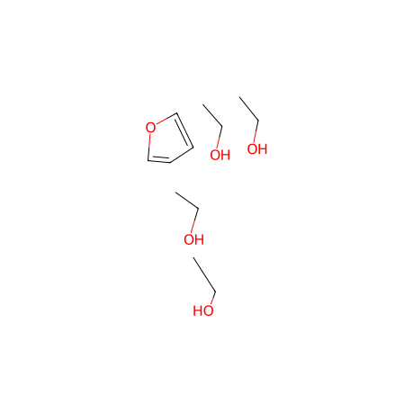 CCO.CCO.CCO.CCO.c1ccoc1